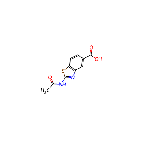 CC(=O)Nc1nc2cc(C(=O)O)ccc2s1